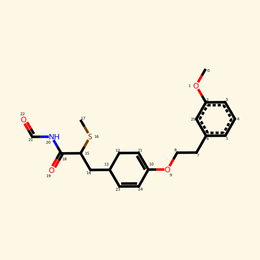 COc1cccc(CCOC2=CCC(CC(SC)C(=O)NC=O)C=C2)c1